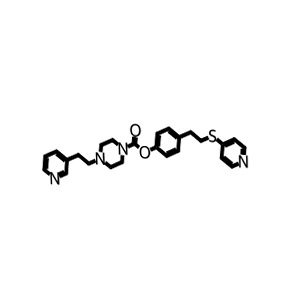 O=C(Oc1ccc(CCSc2ccncc2)cc1)N1CCN(CCc2cccnc2)CC1